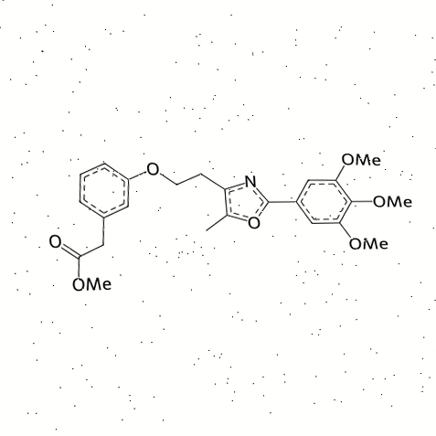 COC(=O)Cc1cccc(OCCc2nc(-c3cc(OC)c(OC)c(OC)c3)oc2C)c1